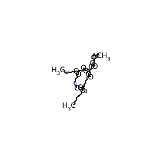 CC/C=C\CCCCOC(CCC(=O)OCC(COC(=O)CCCCCCC(=O)OCCC#CCCCCC)COC(=O)OCC1CCCN(CC)C1)OCCCC/C=C\CC